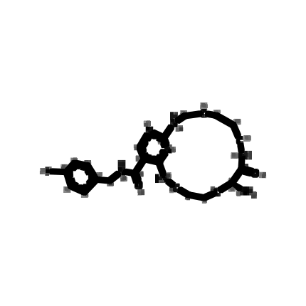 N[C@H]1CCCCNc2nc(ncc2C(=O)NCc2ccc(F)cc2)NCCCCCNC1=O